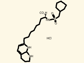 Cl.O=C(O)[C@H](CCCCCCCC1=CC=C2CCCNC2N1)NS(=O)(=O)CC1CCCCC1